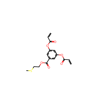 C=CC(=O)Oc1cc(OC(=O)C=C)cc(C(=O)OCCSC)c1